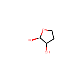 OC1CCO[C@@H]1O